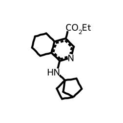 CCOC(=O)c1cnc(NC23CCC(CC2)C3)c2c1CCCC2